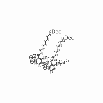 CCCCCCCCCCCCCCCCCCCCc1c(C(C)C)cccc1S(=O)(=O)[O-].CCCCCCCCCCCCCCCCCCCCc1c(C(C)C)cccc1S(=O)(=O)[O-].[Ca+2]